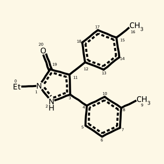 CCn1[nH]c(-c2cccc(C)c2)c(-c2ccc(C)cc2)c1=O